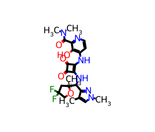 Cc1cn(C)nc1C(Nc1c(Nc2ccnc(C(=O)N(C)C)c2O)c(=O)c1=O)[C@]1(C)CC(F)(F)CO1